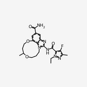 CCn1nc(C)c(F)c1C(=O)Nc1nc2cc(C(N)=O)cc3c2n1CCCOC(C)CCO3